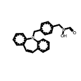 O=CN(O)Cc1ccc(CN2c3ccccc3C=Cc3ccccc32)cc1